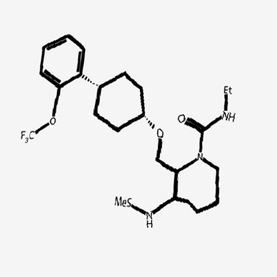 CCNC(=O)N1CCCC(NSC)C1CO[C@H]1CC[C@@H](c2ccccc2OC(F)(F)F)CC1